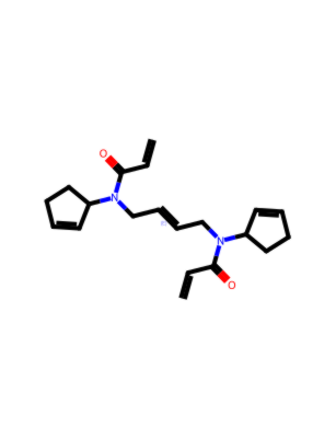 C=CC(=O)N(C/C=C/CN(C(=O)C=C)C1C=CCC1)C1C=CCC1